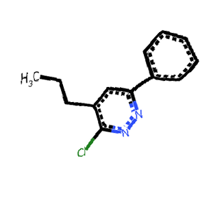 CCCc1cc(-c2ccccc2)nnc1Cl